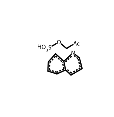 CC(=O)COS(=O)(=O)O.c1ccc2ncccc2c1